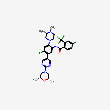 C[C@@H]1CN(c2ncc(-c3cc(NC(=O)c4ccc(F)cc4C(F)(F)F)c(N4CCN(C)[C@H](C)C4)cc3F)cn2)C[C@H](C)O1